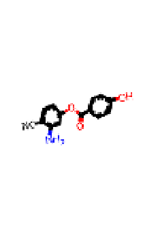 N#Cc1ccc(OC(=O)c2ccc(O)cc2)cc1N